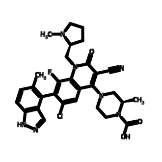 Cc1ccc2[nH]ncc2c1-c1c(Cl)cc2c(N3CCN(C(=O)O)[C@H](C)C3)c(C#N)c(=O)n(C[C@@H]3CCCN3C)c2c1F